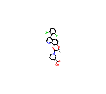 C[C@@H](Oc1ccc2c(-c3c(Cl)cccc3Cl)ccnc2c1)C(=O)N1CCC[C@H](C(=O)O)C1